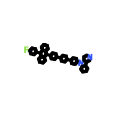 Fc1ccc(-c2c3ccccc3c(-c3ccc(-c4ccc(-c5ccc(-n6c7ccccc7c7cnccc76)cc5)cc4)cc3)c3ccccc23)cc1